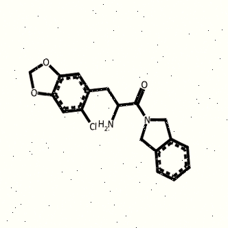 NC(Cc1cc2c(cc1Cl)OCO2)C(=O)N1Cc2ccccc2C1